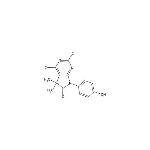 CC1(C)C(=O)N(c2ccc(O)cc2)c2nc(Cl)nc(Cl)c21